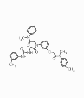 Cc1ccc(N(C)C(=O)COc2cccc(N(CC(=O)N(C)c3ccccc3)C(=O)CNC(=O)Nc3cccc(C)c3)c2)cc1